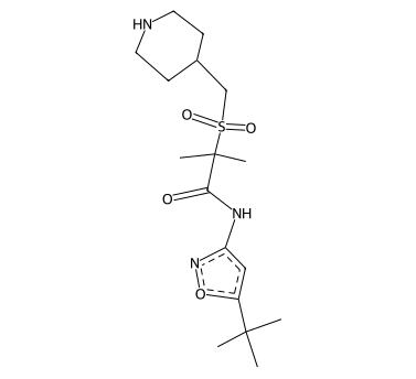 CC(C)(C)c1cc(NC(=O)C(C)(C)S(=O)(=O)CC2CCNCC2)no1